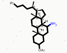 CC(=O)OC1CC[C@@]2(C)C(C1)CC(N)[C@H]1[C@@H]3CC[C@H]([C@H](C)CCCC(C)C)[C@@]3(C)CC[C@@H]12